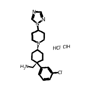 Cl.Cl.NC[C@]1(c2cccc(Cl)c2)CC[C@H](N2CCC(n3cncn3)CC2)CC1